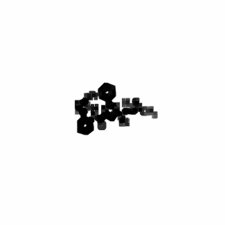 CCCc1nnc(-c2ccccc2NC(=O)c2cc(N(CC)CCN(C)C)nc(-c3ccccc3)n2)s1